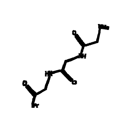 CNCC(=O)NCC(=O)NCC(=O)C(C)C